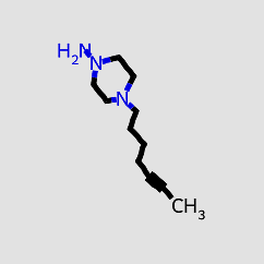 CC#CCCCCN1CCN(N)CC1